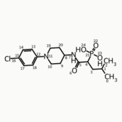 CC(C)CC(C(=O)NC1CCN(c2ccc(Cl)cc2)CC1)P(=O)(O)O